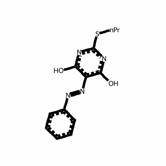 CCCSc1nc(O)c(N=Nc2ccccc2)c(O)n1